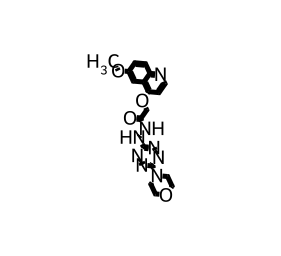 COc1ccc2nccc(OCC(=O)NNc3nnc(N4CCOCC4)nn3)c2c1